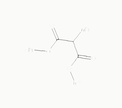 CCCOC(=O)C(CCC)C(=O)OCCC